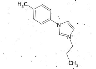 CCC[n+]1ccn(-c2ccc(C)cc2)c1